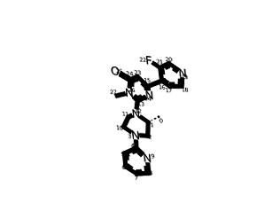 C[C@@H]1CN(c2ccccn2)CCN1c1nc(-c2ccncc2F)cc(=O)n1C